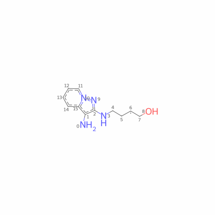 Nc1c(NCC[CH]CO)nn2ccccc12